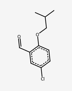 CC(C)COc1ccc(Cl)cc1C=O